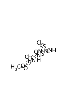 CCOC(=O)C1CCN(c2ncc(C(=O)Nc3nc(-c4cc(Cl)cs4)c(N4CCNCC4)s3)cc2Cl)CC1